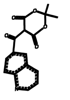 CC1(C)OC(=O)C(C(=O)c2ccc3ncccc3c2)C(=O)O1